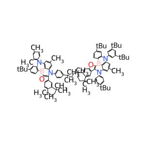 Cc1ccc(N2c3cc(C(C)(C)C)ccc3B3c4oc5cc6c(cc5c4N(c4ccc(C(C)(C)CCC5(C)CCC(C)(C)c7cc8c9c(oc8cc75)B5c7ccc(C(C)(C)C)cc7N(c7cc(C(C)(C)C)cc(C(C)(C)C)c7)c7cc(C)cc(c75)N9c5ccc(C(C)(C)C)cc5)cc4)c4cc(C)cc2c43)C(C)(C)CCC6(C)C)c(C)c1